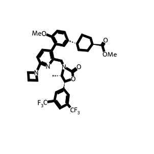 COc1ccc([C@H]2CC[C@H](C(=O)OC)CC2)cc1-c1ccc(N2CCC2)nc1CN1C(=O)O[C@H](c2cc(C(F)(F)F)cc(C(F)(F)F)c2)[C@@H]1C